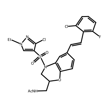 CCn1cc(S(=O)(=O)N2CC(CNC(C)=O)Oc3ccc(C=Cc4c(F)cccc4Cl)cc32)c(Cl)n1